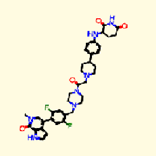 Cn1cc(-c2cc(F)c(CN3CCN(C(=O)CN4CCC(c5ccc(NC6CCC(=O)NC6=O)cc5)CC4)CC3)cc2F)c2cc[nH]c2c1=O